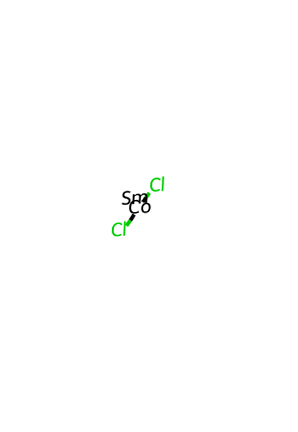 [Cl][Co][Cl].[Sm]